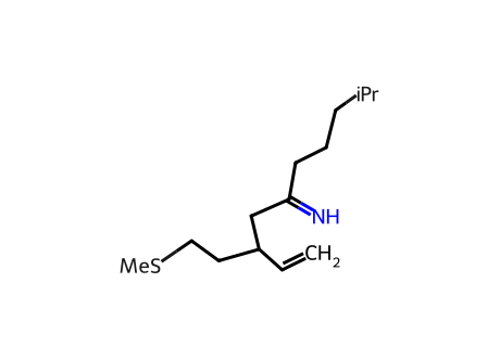 C=CC(CCSC)CC(=N)CCCC(C)C